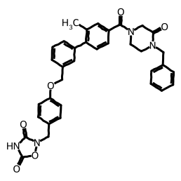 Cc1cc(C(=O)N2CCN(Cc3ccccc3)C(=O)C2)ccc1-c1cccc(COc2ccc(Cn3oc(=O)[nH]c3=O)cc2)c1